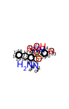 CCN(CC)Cc1c(N)c(C)c(Cc2ccccc2)c(C(=O)NO)c1S(=O)(=O)c1ccc(OC)cc1